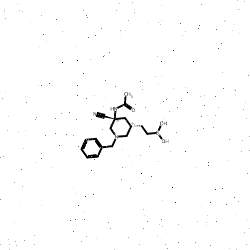 CC(=O)N[C@]1(C#N)C[C@H](CCB(O)O)CN(Cc2ccccc2)C1